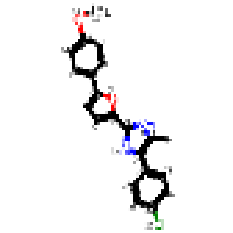 Cc1[nH]c(-c2ccc(-c3ccc(OC(C)(C)C)cc3)o2)nc1-c1ccc(Cl)cc1